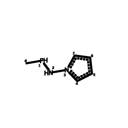 CPNn1cccc1